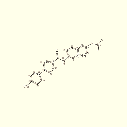 CN(C)Cc1cnc2cc(NC(=O)c3ccc(-c4ccc(Cl)cc4)cc3)ccc2c1